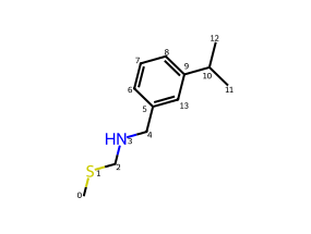 CSCNCc1cccc(C(C)C)c1